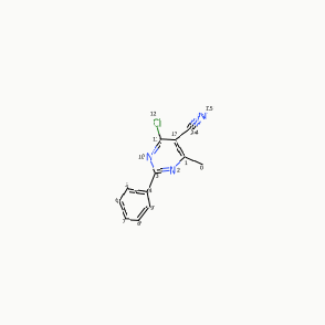 Cc1nc(-c2ccccc2)nc(Cl)c1C#N